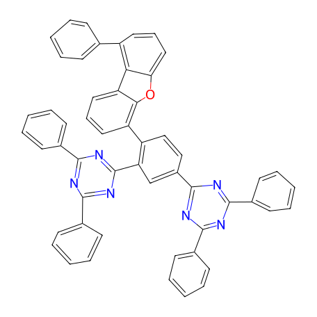 c1ccc(-c2nc(-c3ccccc3)nc(-c3ccc(-c4cccc5c4oc4cccc(-c6ccccc6)c45)c(-c4nc(-c5ccccc5)nc(-c5ccccc5)n4)c3)n2)cc1